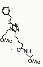 COCCCn1c(CCCCC(=O)NCC(C)OC)nnc1SCc1ccccc1